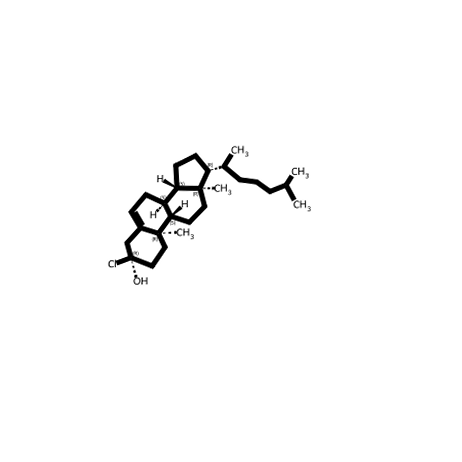 CC(C)CCCC(C)[C@H]1CC[C@H]2[C@@H]3CC=C4C[C@](O)(Cl)CC[C@]4(C)[C@H]3CC[C@]12C